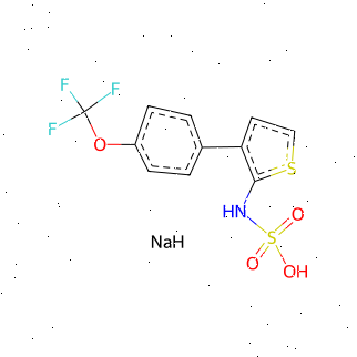 O=S(=O)(O)Nc1sccc1-c1ccc(OC(F)(F)F)cc1.[NaH]